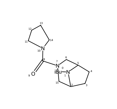 CCC(C)N1C2CCC1CN(C(=O)N1CCCC1)C2